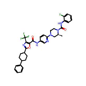 C[C@H]1CN(c2ccc(NC(=O)c3oc(C4CCC(c5ccccc5)CC4)nc3C(F)(F)F)cn2)CCN1C(=O)Nc1ccccc1F